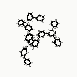 c1ccc(-c2cccc(-n3c4ccccc4c4cc(-c5ccc6c(c5)c5c(-c7cccc(-c8nc(-c9ccccc9)nc(-c9ccccc9)n8)c7)cccc5n6-c5cccc(-c6ccccc6)c5)ccc43)c2)cc1